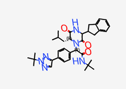 CC(C)C[C@@H]1C(=O)NC(C2Cc3ccccc3C2)C(=O)N1[C@@H](C(=O)NC(C)(C)C)c1ccc(-c2cnn(C(C)(C)C)n2)cc1